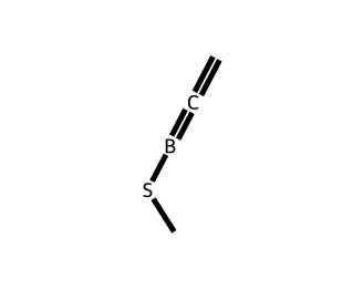 C=C=BSC